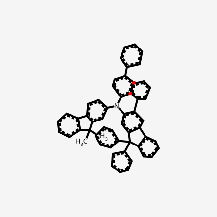 CC1(C)c2ccccc2-c2ccc(N(c3ccc(-c4ccccc4)cc3)c3cc4c(cc3-c3ccccc3)-c3ccccc3C4(c3ccccc3)c3ccccc3)cc21